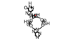 O=c1[nH]ncc2c1ncn2[C@@H]1O[C@@H]2COP(=O)(S)OCCn3c(nc4cncnc43)COP(=O)(S)O[C@@H]1[C@@H]2F